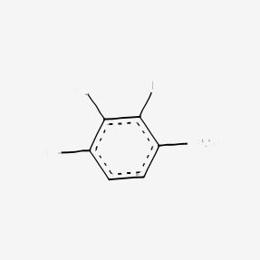 COc1ccc(O)c(Cl)c1F